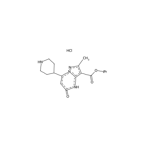 Cc1nn2c(C3CCNCC3)cc(=O)[nH]c2c1C(=O)OC(C)C.Cl